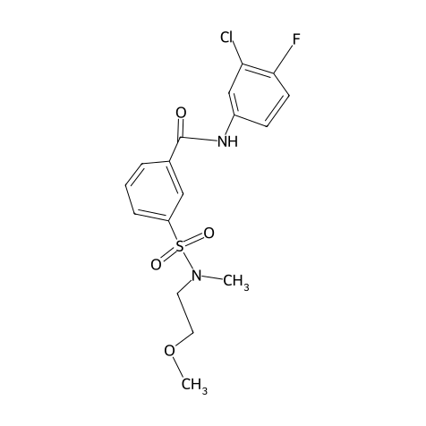 COCCN(C)S(=O)(=O)c1cccc(C(=O)Nc2ccc(F)c(Cl)c2)c1